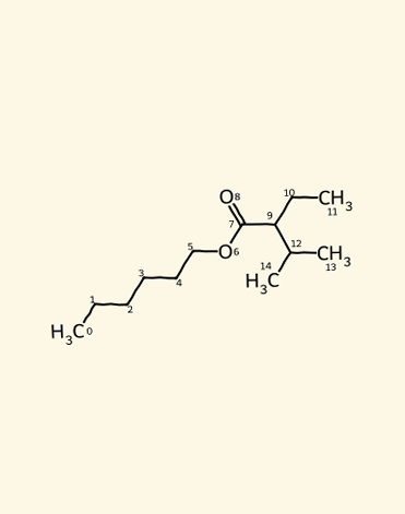 CCCCCCOC(=O)C(CC)C(C)C